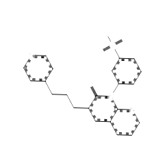 CS(=O)(=O)c1cccc(-n2c(=O)c(CCCc3ccncc3)cc3cccnc32)c1